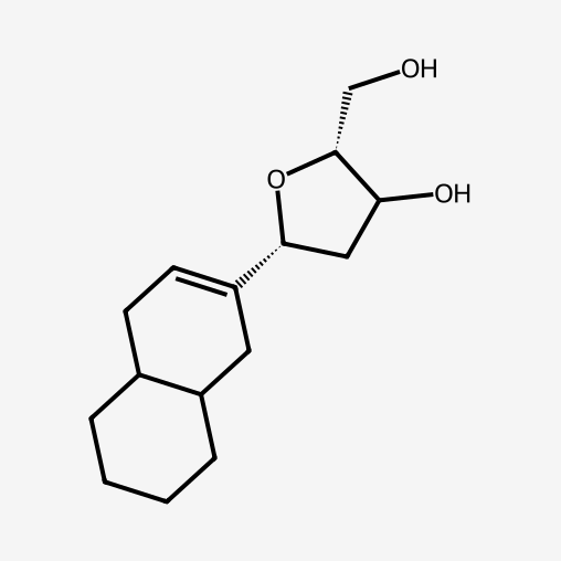 OC[C@H]1O[C@@H](C2=CCC3CCCCC3C2)CC1O